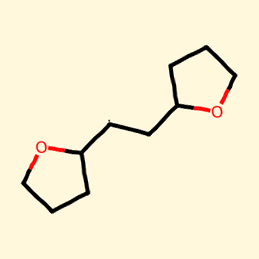 [CH](CC1CCCO1)C1CCCO1